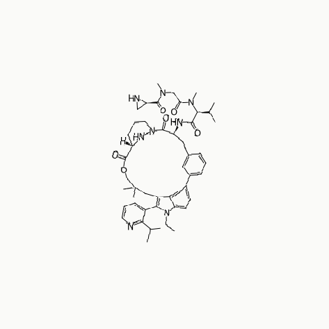 CCn1c(-c2cccnc2C(C)C)c2c3cc(ccc31)-c1cccc(c1)C[C@H](NC(=O)[C@H](C(C)C)N(C)C(=O)CN(C)C(=O)[C@H]1CN1)C(=O)N1CCC[C@H](N1)C(=O)OCC(C)(C)C2